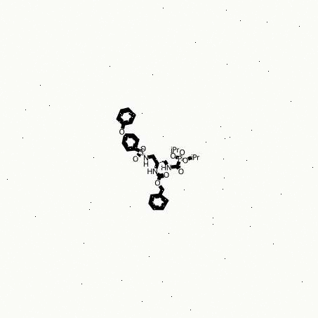 CC(C)OP(=O)(OC(C)C)C(=O)NC[C@@H](CNS(=O)(=O)c1ccc(Oc2ccccc2)cc1)NC(=O)OCc1ccccc1